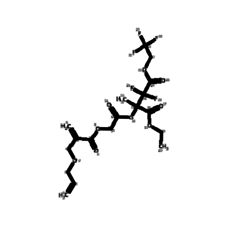 C=CCOCC(=C)C(=O)OCC(=O)OC(C)(C(=O)OCC)C(F)(F)C(=O)OCC(F)(F)F